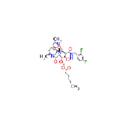 CCCCCCC(=O)OCOc1c2n(cc(C(=O)NCc3ccc(F)cc3F)c1=O)[C@@H]1CN(C2=O)[C@@H](C)CC[C@]12CC(C)=NO2